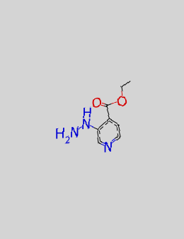 CCOC(=O)c1ccncc1NN